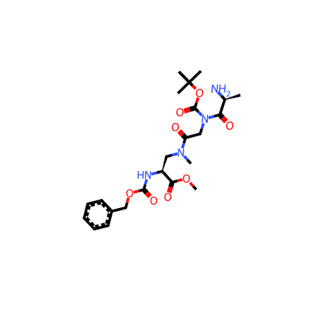 COC(=O)[C@H](CN(C)C(=O)CN(C(=O)OC(C)(C)C)C(=O)[C@H](C)N)NC(=O)OCc1ccccc1